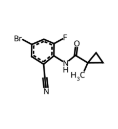 CC1(C(=O)Nc2c(F)cc(Br)cc2C#N)CC1